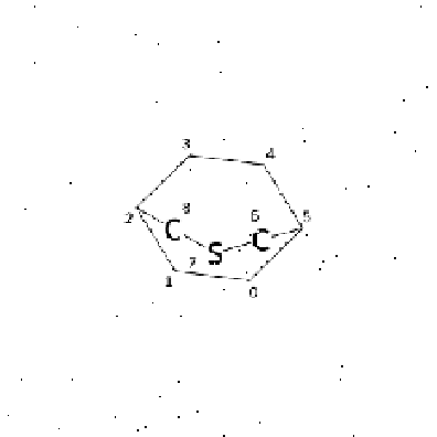 C1CC2CCC1CSC2